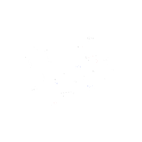 CC(c1ccccc1)N1CC([C@@](N)(NC(=O)OC(C)(C)C)c2ccco2)CC1=O